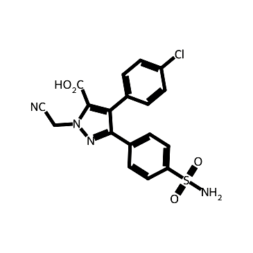 N#CCn1nc(-c2ccc(S(N)(=O)=O)cc2)c(-c2ccc(Cl)cc2)c1C(=O)O